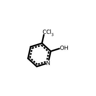 Oc1ncccc1C(Cl)(Cl)Cl